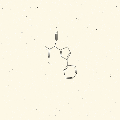 CC(=O)C(C#N)c1cc(-c2ccccc2)cs1